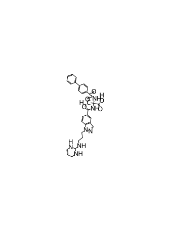 CC(NC(=O)c1ccc2c(cnn2CCCNC2NC=CCN2)c1)(NS(=O)(=O)c1ccc(-c2ccccc2)cc1)C(=O)O